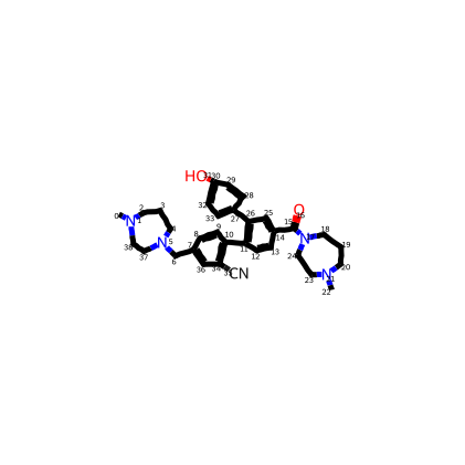 CN1CCCN(Cc2ccc(-c3ccc(C(=O)N4CCCN(C)CC4)cc3-c3ccc(O)cc3)c(C#N)c2)CC1